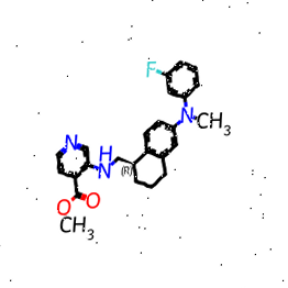 COC(=O)c1ccncc1NC[C@@H]1CCCc2cc(N(C)c3cccc(F)c3)ccc21